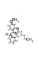 CCCCCC1=Nc2cc(OC)ccc2C(C)N1Cc1ccccc1